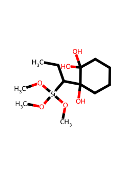 CCC(C1(O)CCCCC1(O)O)[Si](OC)(OC)OC